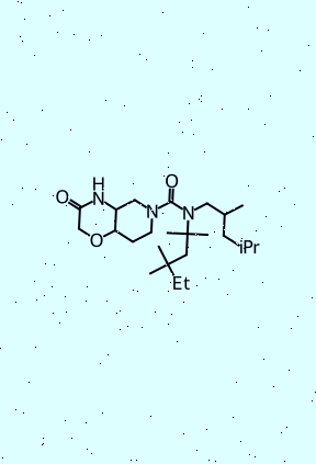 CCC(C)(C)CC(C)(C)N(CC(C)CC(C)C)C(=O)N1CCC2OCC(=O)NC2C1